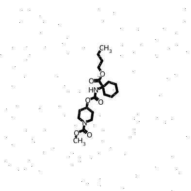 CCCCOC(=O)C1(NC(=O)OC2CCN(C(=O)OC)CC2)CCCCC1